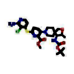 COC(=O)c1nc(Sc2ccnc(N)c2Cl)ccc1N1CCC2(CC1)CO[C@@H](C)[C@H]2NC(=O)OC(C)(C)C